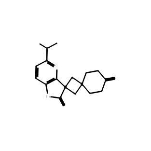 CC(O)c1ccc2c(n1)C1(CC3(CCC(=O)CC3)C1)C(=O)N2